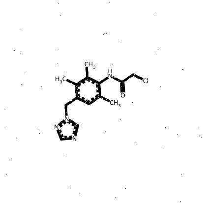 Cc1cc(Cn2cncn2)c(C)c(C)c1NC(=O)CCl